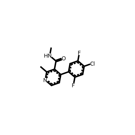 CNC(=O)c1c(-c2cc(F)c(Cl)cc2F)ccnc1C